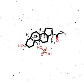 CC(=O)[C@H]1CC[C@H]2[C@@H]3CC[C@@H]4C[C@@H](O)CC[C@]4(C)[C@H]3CC[C@]12C.O=S(=O)(O)O